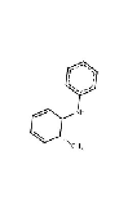 C[C@@H]1C=CC=CC1Nc1ccccc1